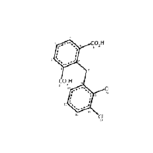 O=C(O)c1cccc(C(=O)O)c1Cc1cccc(Cl)c1Cl